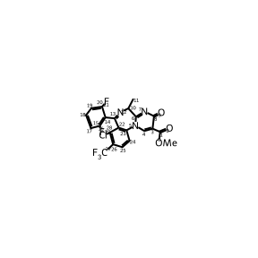 COC(=O)c1cn2c(nc1=O)C(C)N=C(c1c(F)cccc1F)c1c-2ccc(C(F)(F)F)c1Cl